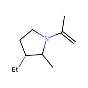 C=C(C)N1CC[C@@H](CC)C1C